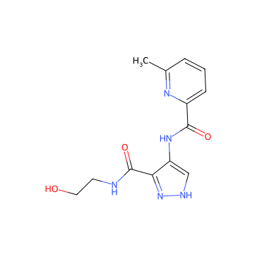 Cc1cccc(C(=O)Nc2c[nH]nc2C(=O)NCCO)n1